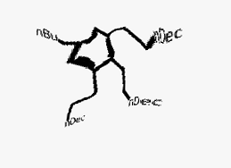 [CH2]CCCc1cc(CCCCCCCCCCCC)c(CCCCCCCCCCCC)c(CCCCCCCCCCCC)c1